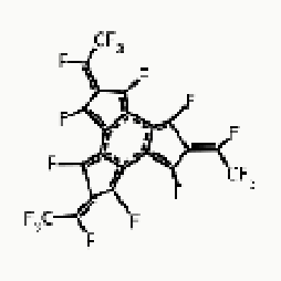 FC(=C1C(F)=c2c3c(c4c(c2=C1F)=C(F)C(=C(F)C(F)(F)F)C=4F)=C(F)C(=C(F)C(F)(F)F)C=3F)C(F)(F)F